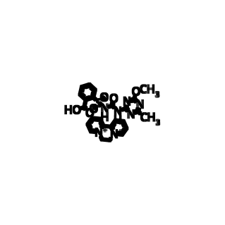 COc1nc(C)nc(NC(=O)NS(=O)(=O)c2ccccc2C(=O)O)n1.c1cc[n+]2c(c1)-c1cccc[n+]1CC2